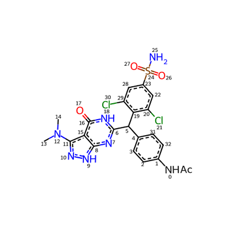 CC(=O)Nc1ccc(C(c2nc3[nH]nc(N(C)C)c3c(=O)[nH]2)c2c(Cl)cc(S(N)(=O)=O)cc2Cl)cc1